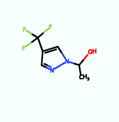 CC(O)n1cc(C(F)(F)F)cn1